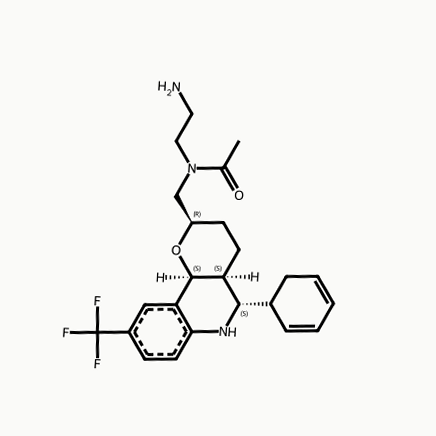 CC(=O)N(CCN)C[C@H]1CC[C@@H]2[C@H](O1)c1cc(C(F)(F)F)ccc1N[C@H]2C1C=CC=CC1